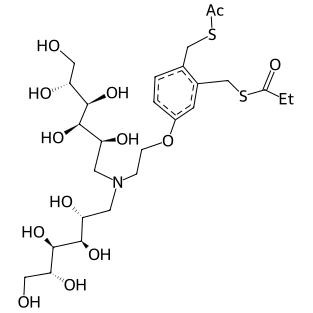 CCC(=O)SCc1cc(OCCN(C[C@@H](O)[C@@H](O)[C@H](O)[C@H](O)CO)C[C@H](O)[C@@H](O)[C@H](O)[C@H](O)CO)ccc1CSC(C)=O